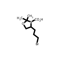 CC1(C)OCC(CCCBr)N1C(=O)O